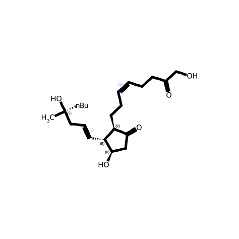 CCCC[C@](C)(O)C/C=C/[C@H]1[C@H](O)CC(=O)[C@@H]1CC/C=C\CCC(=O)CO